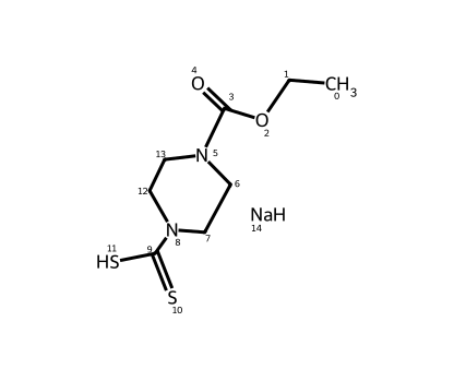 CCOC(=O)N1CCN(C(=S)S)CC1.[NaH]